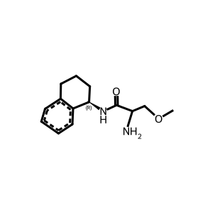 COCC(N)C(=O)N[C@@H]1CCCc2ccccc21